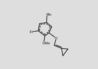 CCc1cc(C(C)(C)C)cc(OC=C2CC2)c1OC